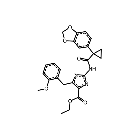 CCOC(=O)c1nc(NC(=O)C2(c3ccc4c(c3)OCO4)CC2)sc1Cc1ccccc1OC